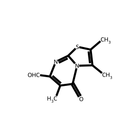 Cc1sc2nc(C=O)c(C)c(=O)n2c1C